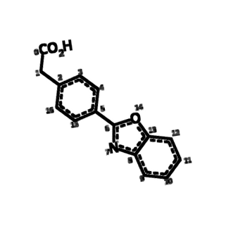 O=C(O)Cc1ccc(-c2nc3ccccc3o2)cc1